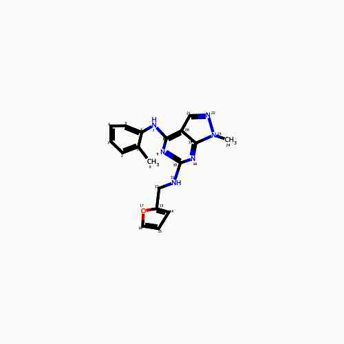 Cc1ccccc1Nc1nc(NCc2ccco2)nc2c1cnn2C